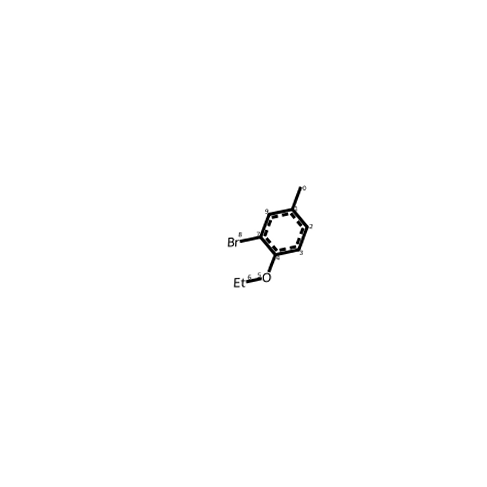 [CH2]c1ccc(OCC)c(Br)c1